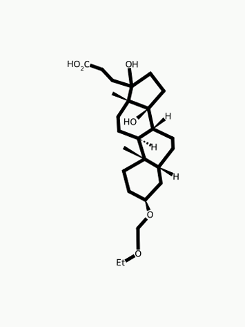 CCOCO[C@H]1CC[C@@]2(C)[C@H](CC[C@@H]3[C@@H]2CC[C@]2(C)C(O)(CCC(=O)O)CC[C@]32O)C1